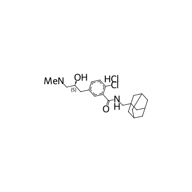 CNC[C@@H](O)Cc1ccc(Cl)c(C(=O)NCC23CC4CC(CC(C4)C2)C3)c1.Cl